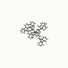 CC/C=C\c1c2c(n(-c3cccc(C4C=CC=C(n5c6ccccc6c6ccc7c8ccccc8n(C\C=C/C=C(N)/C(N)=C/C=C\Cn8c9c(c%10ccccc%108)C=CCC9)c7c65)N4)n3)c1C)CCC=C2